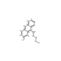 CCCCOc1c2ccccc2cc2ccc(C)cc12